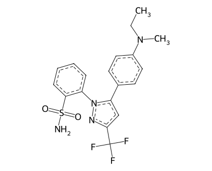 CCN(C)c1ccc(-c2cc(C(F)(F)F)nn2-c2ccccc2S(N)(=O)=O)cc1